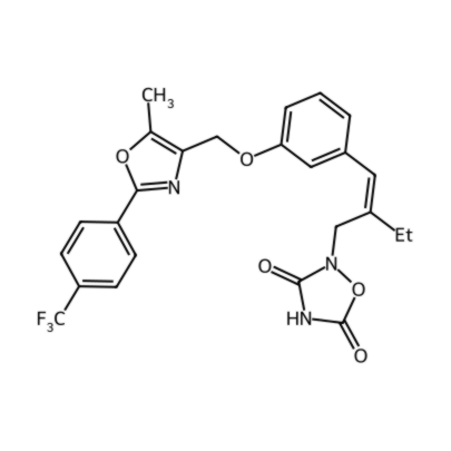 CCC(=Cc1cccc(OCc2nc(-c3ccc(C(F)(F)F)cc3)oc2C)c1)Cn1oc(=O)[nH]c1=O